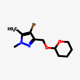 Cn1nc(COC2CCCCO2)c(Br)c1C(=O)O